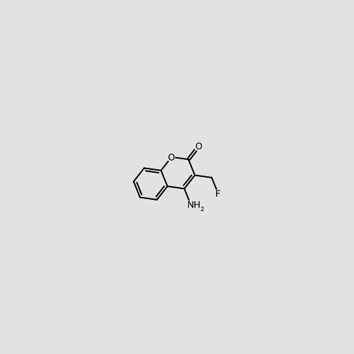 Nc1c(CF)c(=O)oc2ccccc12